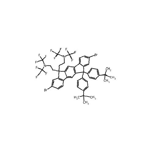 CC(C)(C)c1ccc(C2(c3ccc(C(C)(C)C)cc3)c3cc(Br)ccc3-c3cc4c(cc32)-c2ccc(Br)cc2C4(CCN(C(F)(F)F)C(F)(F)F)CCN(C(F)(F)F)C(F)(F)F)cc1